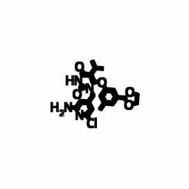 Cc1cc(Oc2c(C(C)C)c(=O)[nH]c(=O)n2Cc2cc(N)nc(Cl)c2)cc(C2OCCO2)c1